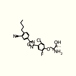 CCCCc1ccc(-c2nc(-c3cc(F)c(OC[C@H](N)[C@@H](C)O)cc3Cl)no2)cc1C#N